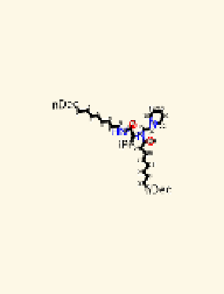 CCCCCCCCCCCCCCCCCCNC(=O)C(C(C)C)N(CCN1CCCCC1)C(=O)CCCCCCCCCCCCCCCCC